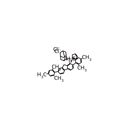 Cc1cc(C)c(-c2ccc3c(c2)Cc2c-3ccc(-c3c(C)cc(C)cc3C)[c]2[Ti+2]([C]2=CC=CC2)=[C]2C3CC4CC(C3)CC2C4)c(C)c1.[Cl-].[Cl-]